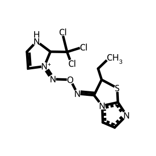 CCC1Sc2nccn2C1=NON=[N+]1C=CNC1C(Cl)(Cl)Cl